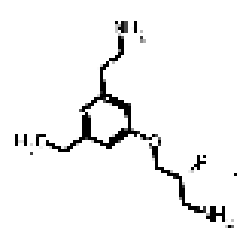 CCc1cc(CCN)cc(OC[C@H](F)CN)c1